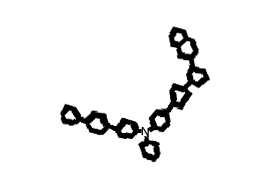 c1ccc(-c2ccc(-c3ccc(N(c4ccccc4)c4ccc(-c5ccc(-c6cccc(-c7ccc8ccccc8c7)c6)cc5)cc4)cc3)cc2)cc1